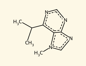 CC(C)c1ncnc2ncn(C)c12